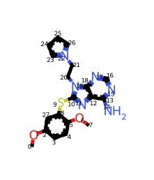 COc1ccc(OC)c(Sc2nc3c(N)ncnc3n2CCn2cccc2)c1